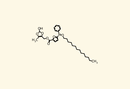 CCCCCCCCCCCCCCON(c1ccccc1)c1ccc(C(=O)OCC2=C(C)OC(O)O2)o1